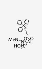 CNCCNC(=O)[C@H](CC(=O)O)N(C)C(=O)CCCCCSC(c1ccccc1)(c1ccccc1)c1ccccc1